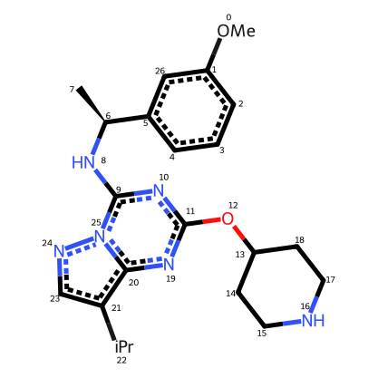 COc1cccc([C@H](C)Nc2nc(OC3CCNCC3)nc3c(C(C)C)cnn23)c1